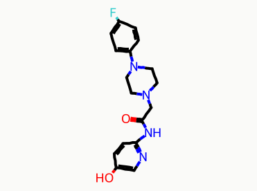 O=C(CN1CCN(c2ccc(F)cc2)CC1)Nc1ccc(O)cn1